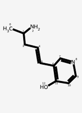 CC(N)CC=Cc1cnccc1O